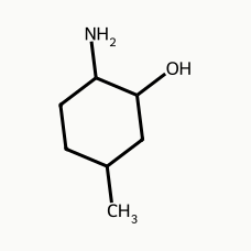 CC1CCC(N)C(O)C1